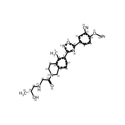 Cc1c(-c2noc(-c3ccc(OC(C)C)c(C#N)c3)n2)ccc2c1CCN(C(=O)CNC[C@@H](C)O)C2